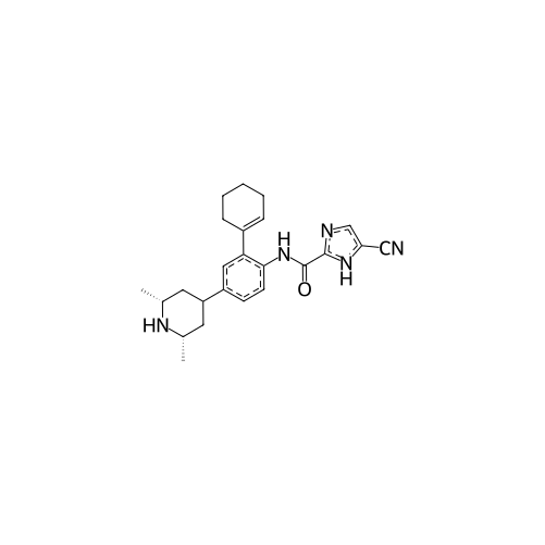 C[C@@H]1CC(c2ccc(NC(=O)c3ncc(C#N)[nH]3)c(C3=CCCCC3)c2)C[C@H](C)N1